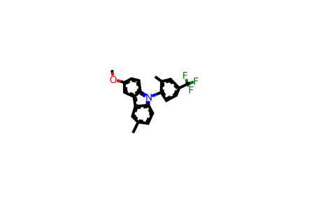 COc1ccc2c(c1)c1cc(C)ccc1n2-c1ccc(C(F)(F)F)cc1C